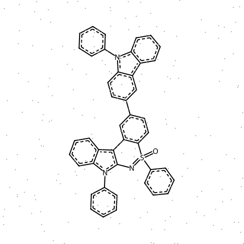 O=S1(c2ccccc2)=Nc2c(c3ccccc3n2-c2ccccc2)-c2cc(-c3ccc4c(c3)c3ccccc3n4-c3ccccc3)ccc21